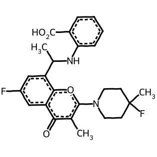 Cc1c(N2CCC(C)(F)CC2)oc2c(C(C)Nc3ccccc3C(=O)O)cc(F)cc2c1=O